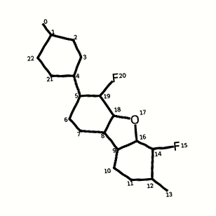 CC1CCC(C2CCC3C4CCC(C)C(F)C4OC3C2F)CC1